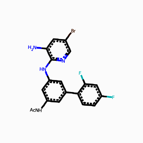 CC(=O)Nc1cc(Nc2ncc(Br)cc2N)cc(-c2ccc(F)cc2F)c1